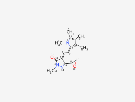 CC1=C(C)N(C)/C(=C\C=C2\C(=O)N(C)N=C2C2CO2)C1C